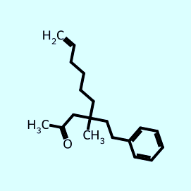 C=CCCCCC(C)(CCc1ccccc1)CC(C)=O